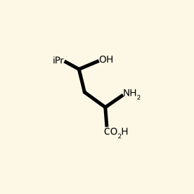 CC(C)C(O)CC(N)C(=O)O